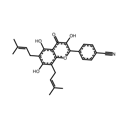 CC(C)=CCc1c(O)c(CC=C(C)C)c2oc(-c3ccc(C#N)cc3)c(O)c(=O)c2c1O